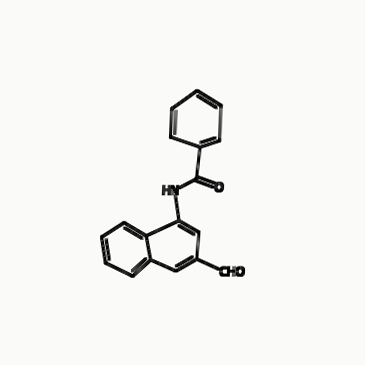 O=Cc1cc(NC(=O)c2ccccc2)c2ccccc2c1